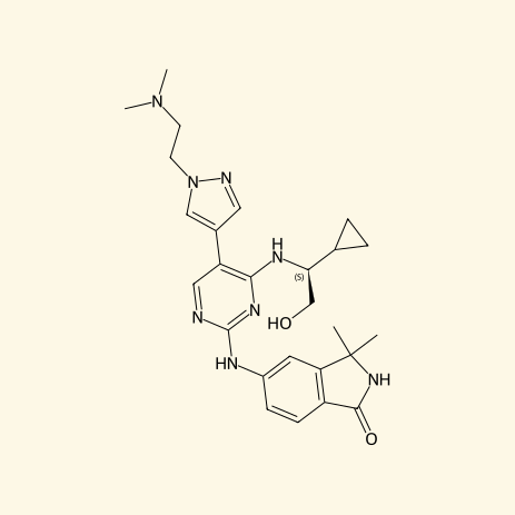 CN(C)CCn1cc(-c2cnc(Nc3ccc4c(c3)C(C)(C)NC4=O)nc2N[C@H](CO)C2CC2)cn1